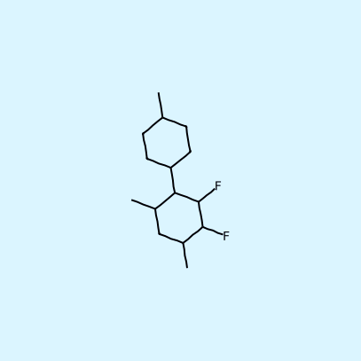 CC1CCC(C2C(C)CC(C)C(F)C2F)CC1